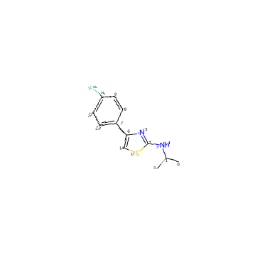 CC(C)Nc1nc(-c2ccc(F)cc2)cs1